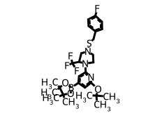 CC(C)(C)Oc1cc(B2OC(C)(C)C(C)(C)O2)cc(N2CCN(SCc3ccc(F)cc3)CC2C(F)(F)F)n1